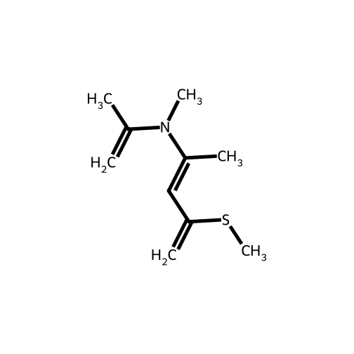 C=C(/C=C(\C)N(C)C(=C)C)SC